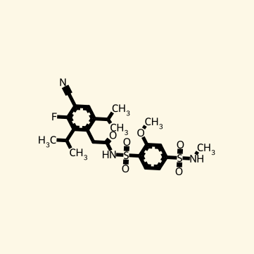 CNS(=O)(=O)c1ccc(S(=O)(=O)NC(=O)Cc2c(C(C)C)cc(C#N)c(F)c2C(C)C)c(OC)c1